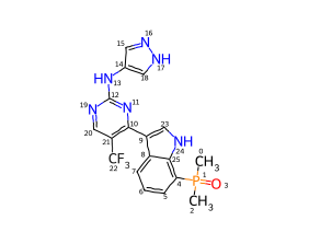 CP(C)(=O)c1cccc2c(-c3nc(Nc4cn[nH]c4)ncc3C(F)(F)F)c[nH]c12